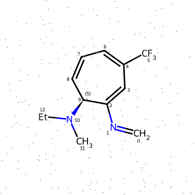 C=NC1=CC(C(F)(F)F)=CC=C[C@@H]1N(C)CC